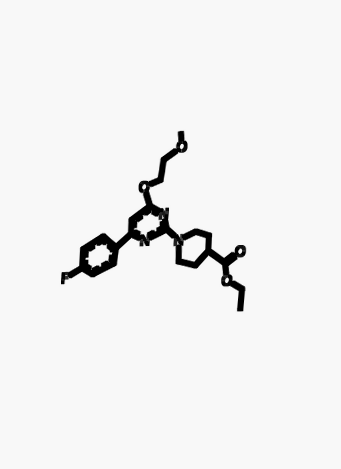 CCOC(=O)C1CCN(c2nc(OCCOC)cc(-c3ccc(F)cc3)n2)CC1